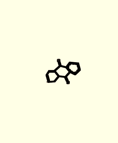 O=C1C2=CC=[C]CC2C(=O)c2ccccc21